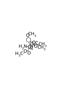 CCOC(=O)c1nn(C(=O)OC(C)(C)C)c(C2CCC(OC)CC2)c1N